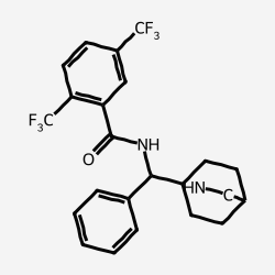 O=C(NC(c1ccccc1)C12CCC(CC1)CN2)c1cc(C(F)(F)F)ccc1C(F)(F)F